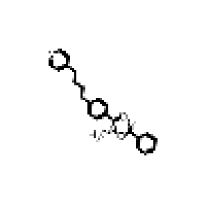 CN(OC(=O)c1ccccc1)C(=O)c1ccc(CCCCc2ccncc2)cc1